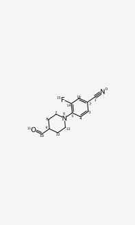 N#Cc1ccc(N2CCC(C=O)CC2)c(F)c1